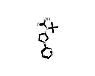 CC(C)(C)N(C(=O)O)[C@H]1CCN(c2cccnn2)C1